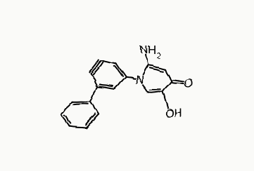 Nc1cc(=O)c(O)cn1-c1cc#cc(-c2ccccc2)c1